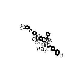 CC[C@@H](c1ccccc1)N1Cc2cc3c(cc2C[C@H]1C(=O)N[C@@H](Cc1ccc(-c2ccc(Cl)cc2)cc1)C(=O)O)N(C)C(=O)[C@H](c1ccc(OCc2ccc(Cl)c(Cl)c2)cc1)O3